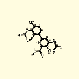 COC(=O)c1nc(-c2ccc(Cl)c(OC(F)F)c2F)cc(NC(C)=O)c1Cl